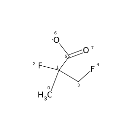 CC(F)(CF)C([O])=O